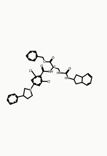 O=C(NC[C@@H](NC(=O)c1c(Cl)cc(N2CCC(c3ccccc3)C2)cc1Cl)C(=O)OCc1ccccc1)NC1CC2C=CC=CC2C1